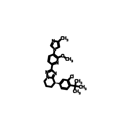 COc1nc(-c2nc3n(n2)CCC[C@H]3c2ccc(C(C)(C)C)c(Cl)c2)ccc1-n1cnc(C)c1